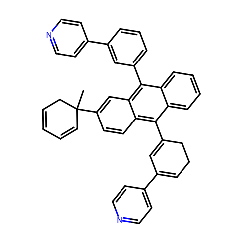 CC1(c2ccc3c(C4=CC(c5ccncc5)=CCC4)c4ccccc4c(-c4cccc(-c5ccncc5)c4)c3c2)C=CC=CC1